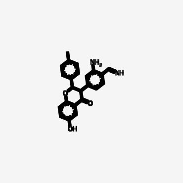 Cc1ccc(C2Oc3ccc(O)cc3C(=O)C2c2ccc(C=N)c(N)c2)cc1